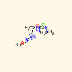 COCCCn1cc(Nc2ncc(C#Cc3cc(C(=O)Nc4ccc(CN5CC[C@@H](N(C)C)C5)c(Cl)c4)ccc3C)cn2)cn1